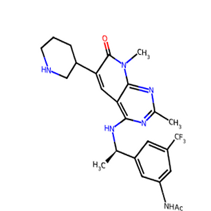 CC(=O)Nc1cc([C@@H](C)Nc2nc(C)nc3c2cc(C2CCCNC2)c(=O)n3C)cc(C(F)(F)F)c1